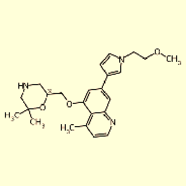 COCCn1ccc(-c2cc(OC[C@@H]3CNCC(C)(C)O3)c3c(C)ccnc3c2)c1